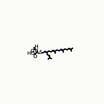 CC(=O)N[C@@H](CSC/C=C(\CC=C(C)C)CC/C=C(\C)CC/C=C(\C)CCC=C(C)C)C(=O)O